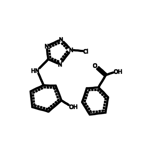 O=C(O)c1ccccc1.Oc1cccc(Nc2nnn(Cl)n2)c1